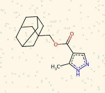 Cc1[nH]ncc1C(=O)OCC12CC3CC(CC(C3)C1)C2